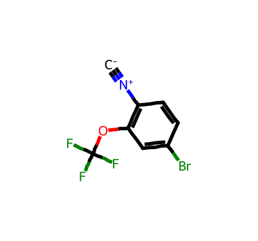 [C-]#[N+]c1ccc(Br)cc1OC(F)(F)F